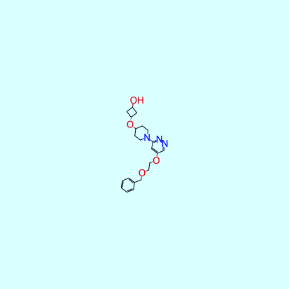 O[C@H]1C[C@H](OC2CCN(c3cc(OCCOCc4ccccc4)cnn3)CC2)C1